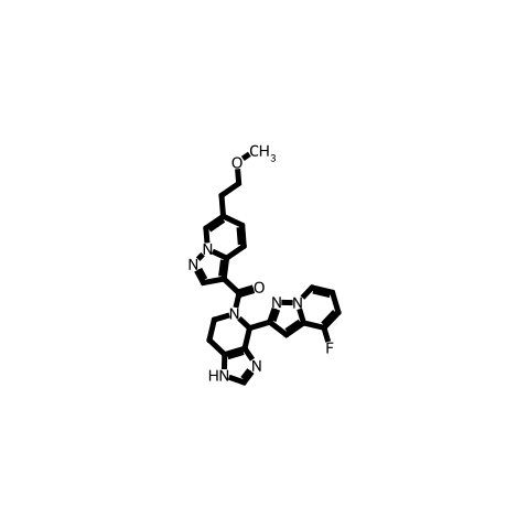 COCCc1ccc2c(C(=O)N3CCc4[nH]cnc4C3c3cc4c(F)cccn4n3)cnn2c1